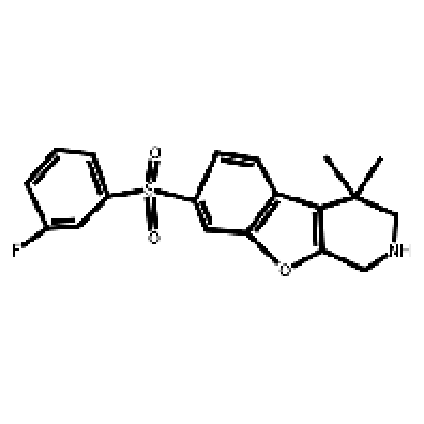 CC1(C)CNCc2oc3cc(S(=O)(=O)c4cccc(F)c4)ccc3c21